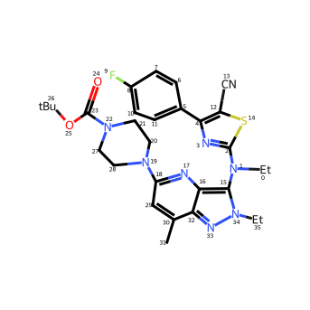 CCN(c1nc(-c2ccc(F)cc2)c(C#N)s1)c1c2nc(N3CCN(C(=O)OC(C)(C)C)CC3)cc(C)c2nn1CC